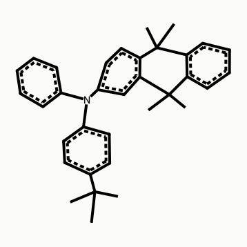 CC(C)(C)c1ccc(N(c2ccccc2)c2ccc3c(c2)C(C)(C)c2ccccc2C3(C)C)cc1